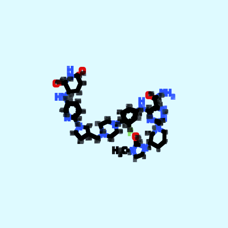 CN1CCN(C2CCCN(c3nnc(C(N)=O)c(Nc4ccc(N5CCN(CC6CCN(c7ccc(NC8CCC(=O)NC8=O)cn7)C6)CC5)c(F)c4)n3)C2)C1=O